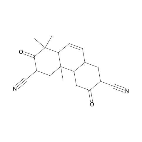 CC1(C)C(=O)C(C#N)CC2(C)C3CC(=O)C(C#N)CC3C=CC12